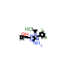 Cl.Nc1nc(C#CC2(O)CCC2)nc2c1nc(-c1cc(F)cc(F)c1)n2C1CC1